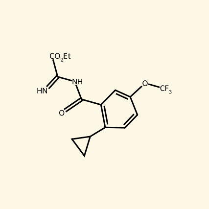 CCOC(=O)C(=N)NC(=O)c1cc(OC(F)(F)F)ccc1C1CC1